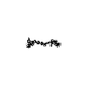 O=C1CCC(N2C(=O)c3cccc(NCCOCCC(=O)N4CCN(c5ccc(-c6ccc7c(c6)C(=O)N(C(C(=O)Nc6nccs6)c6cc(F)ccc6O)C7)cc5)CC4)c3C2=O)C(=O)N1